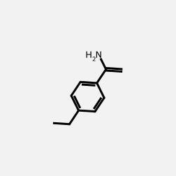 C=C(N)c1ccc(CC)cc1